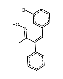 CC(=NO)C(=Cc1cccc(Cl)c1)c1ccccc1